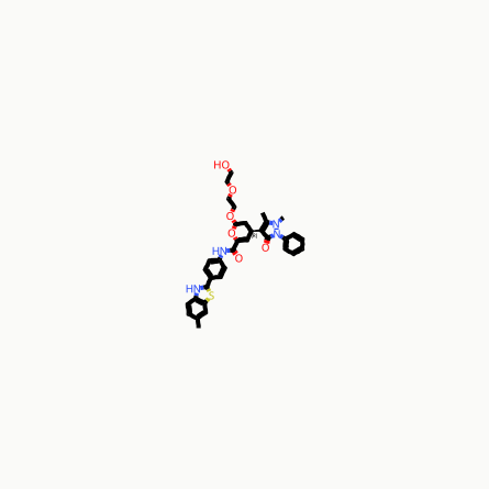 Cc1ccc2c(c1)SC(c1ccc(NC(=O)C3=C[C@H](c4c(C)n(C)n(-c5ccccc5)c4=O)CC(OCCOCCO)O3)cc1)N2